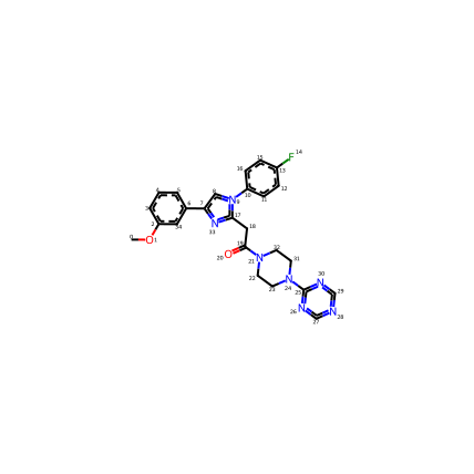 COc1cccc(-c2cn(-c3ccc(F)cc3)c(CC(=O)N3CCN(c4ncncn4)CC3)n2)c1